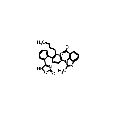 CCCCc1cc(-n2c(C)nc3cccc(C(=O)O)c32)ccc1-c1ccccc1-c1nc(=O)o[nH]1